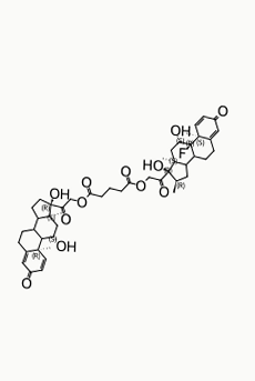 C[C@@H]1CC2C3CCC4=CC(=O)C=C[C@]4(C)[C@@]3(F)[C@@H](O)C[C@]2(C)[C@@]1(O)C(=O)COC(=O)CCCC(=O)OCC(=O)[C@@]1(O)CCC2C3CCC4=CC(=O)C=C[C@]4(C)C3[C@@H](O)C[C@@]21C